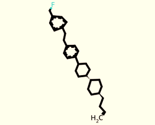 C=CCC[C@H]1CC[C@H](C2CCC(c3ccc(CCc4ccc(CF)cc4)cc3)CC2)CC1